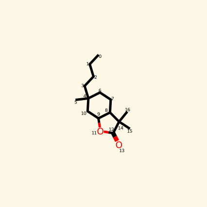 CCCCC1(C)CCC2C(C1)OC(=O)C2(C)C